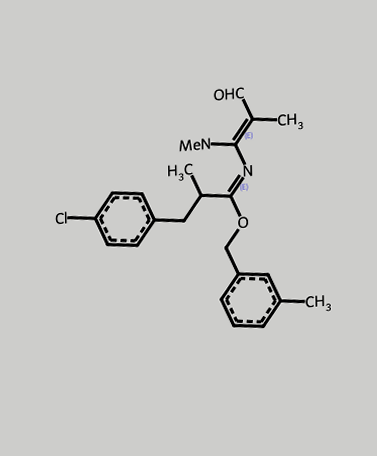 CNC(/N=C(/OCc1cccc(C)c1)C(C)Cc1ccc(Cl)cc1)=C(/C)C=O